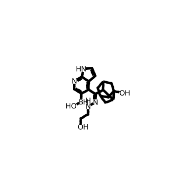 OBc1cnc2[nH]ccc2c1/C(=N\NCCO)C1C2CC3CC1C(O)(C3)C2